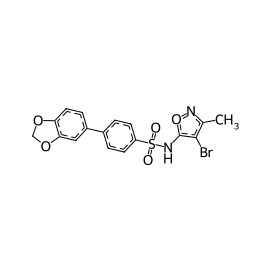 Cc1noc(NS(=O)(=O)c2ccc(-c3ccc4c(c3)OCO4)cc2)c1Br